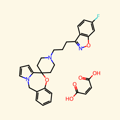 Fc1ccc2c(CCCN3CCC4(CC3)Oc3ccccc3Cn3cccc34)noc2c1.O=C(O)/C=C\C(=O)O